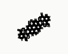 C=Cc1cccc(C=C)c1N1C(=O)c2cc(F)c3c4c(F)cc5c6c(cc(F)c(c7c(F)cc(c2c37)C1=O)c64)C(=O)N(c1c(C=C)cccc1C(C)C)C5=O